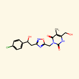 Cc1c(CO)[nH]c(=O)n(Cc2nc(CC(O)c3ccc(Cl)cc3)no2)c1=O